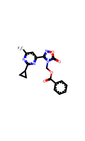 O=C(OCn1c(-c2cc(C(F)(F)F)nc(C3CC3)n2)noc1=O)c1ccccc1